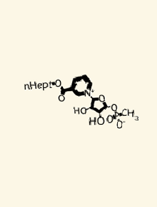 CCCCCCCOC(=O)c1ccc[n+]([C@@H]2O[C@H](OP(C)(=O)[O-])[C@H](O)[C@@H]2O)c1